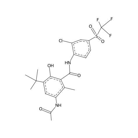 CC(=O)Nc1cc(C(C)(C)C)c(O)c(C(=O)Nc2ccc(S(=O)(=O)C(F)(F)F)cc2Cl)c1C